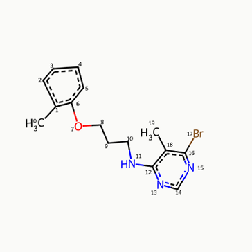 Cc1ccccc1OCCCNc1ncnc(Br)c1C